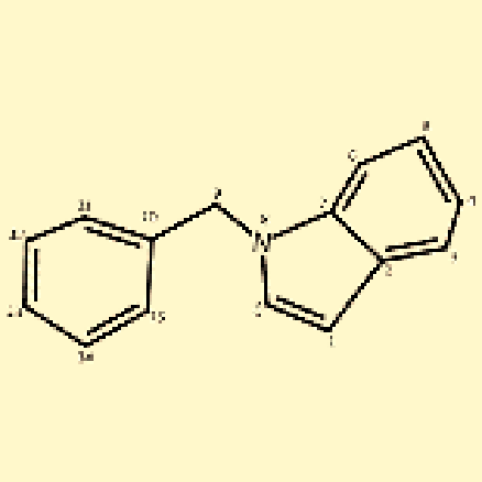 [c]1cc2ccccc2n1Cc1ccccc1